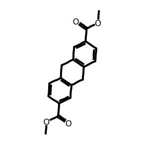 COC(=O)c1ccc2c(c1)Cc1ccc(C(=O)OC)cc1C2